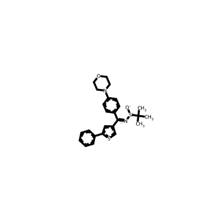 CC(C)(C)[S+]([O-])/N=C(\c1ccc(N2CCOCC2)cc1)c1csc(-c2ccccc2)c1